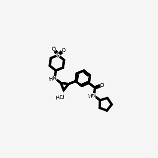 Cl.O=C(NC1CCCC1)c1cccc(C2CC2NC2CCS(=O)(=O)CC2)c1